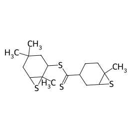 CC1(C)CC(SC(=S)C2CCC3(C)SC3C2)C2(C)SC2C1